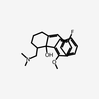 COc1ccc(F)cc1C1(O)/C(=C\c2ccccc2)CCCC1CN(C)C